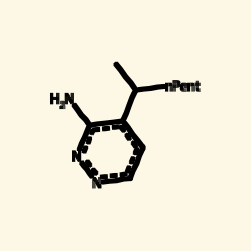 CCCCCC(C)c1ccnnc1N